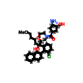 COCCCC[C@](O)(c1cccc(Cl)c1-c1ccc2ccccc2c1)[C@H]1CN(C(=O)[C@H]2C[C@@H](N)[C@@H](O)C2)CCO1